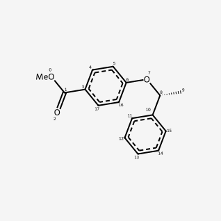 COC(=O)c1ccc(O[C@H](C)c2ccccc2)cc1